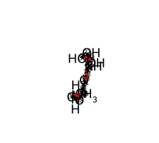 C[C@]1(Cc2cccc(CCCCOCCCCCCNC[C@H](O)c3ccc(O)c(CO)c3)c2)NC(=O)NC1=O